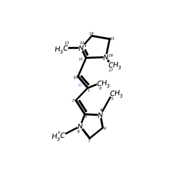 C/C(C=C1N(C)CCN1C)=C\C1=[N+](C)CCN1C